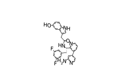 Nc1cc(-c2cccnc2[C@H](Cc2cc(F)cc(F)c2)NC(=O)Cc2c[nH]c3ccc(O)cc23)ccn1